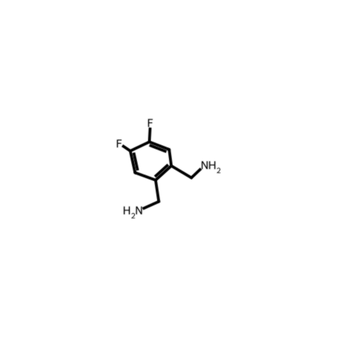 NCc1cc(F)c(F)cc1CN